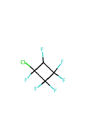 FC1C(F)(F)C(F)(F)C1(F)Cl